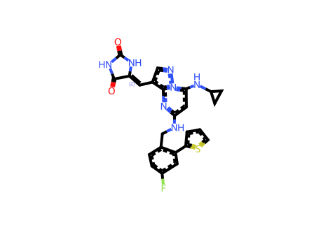 O=C1NC(=O)/C(=C/c2cnn3c(NC4CC4)cc(NCc4ccc(F)cc4-c4cccs4)nc23)N1